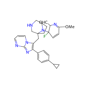 COC1=NC(C=O)C(F)(N2C3CCC2(Cc2c(-c4ccc(C5CC5)cc4)nc4ncccn24)CNC3)C=C1